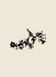 CC(C)C(=O)Nc1nc2c(ncn2C2OC3COP(O)OC4C(COP(=S)(CCC#N)OC2C3C)OC(n2cnc3c(NC(=O)c5ccccc5)ncnc32)C4F)c(=O)[nH]1